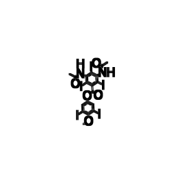 COc1c(I)cc(OC(=O)c2c(I)c(NC(C)=O)c(I)c(NC(C)=O)c2I)cc1I